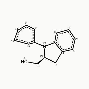 OC[C@@H]1Cc2ccccc2N1c1ccccc1